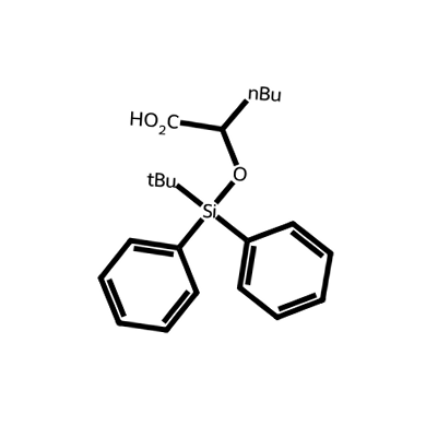 CCCCC(O[Si](c1ccccc1)(c1ccccc1)C(C)(C)C)C(=O)O